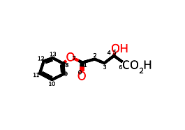 O=C(CCC(O)C(=O)O)Oc1ccccc1